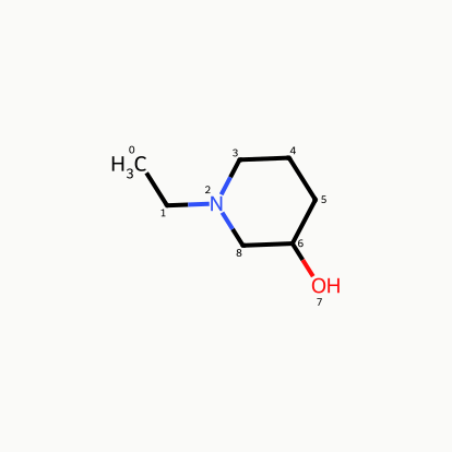 CCN1CCCC(O)C1